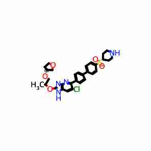 CC(CO[C@@H]1CCOC1)Oc1nc2nc(-c3ccc(-c4ccc(S(=O)(=O)C5CCNCC5)cc4)cc3)c(Cl)cc2[nH]1